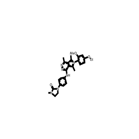 CCOc1ccc(-n2c(C)c3c(C)nnc(Nc4ccc(N5CCN(C)C5=O)cc4)c3c2C)c(OC)c1